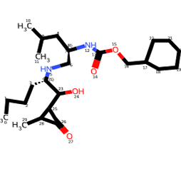 CCCC[C@H](NC[C@@H](CC(C)C)NC(=O)OCC1CCCCC1)C(O)C1C(=O)C1C